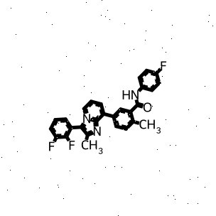 Cc1ccc(-c2cccn3c(-c4cccc(F)c4F)c(C)nc23)cc1C(=O)Nc1ccc(F)cc1